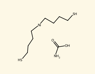 NC(=O)O.SCCC[CH2][Ni][CH2]CCCS